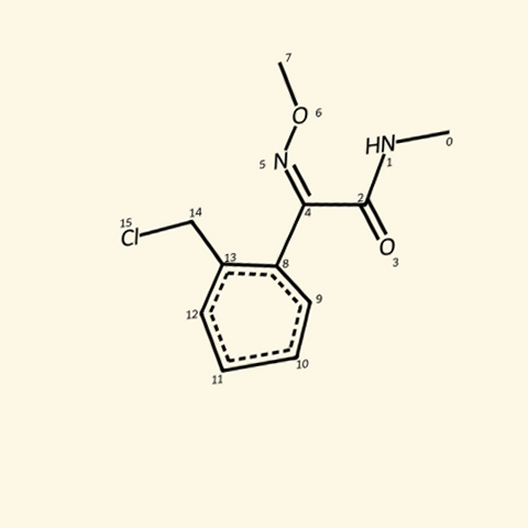 CNC(=O)C(=NOC)c1ccccc1CCl